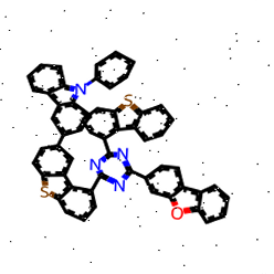 c1ccc(-n2c3ccccc3c3cc(-c4ccc5sc6cccc(-c7nc(-c8ccc9c(c8)oc8ccccc89)nc(-c8cccc9sc%10ccccc%10c89)n7)c6c5c4)ccc32)cc1